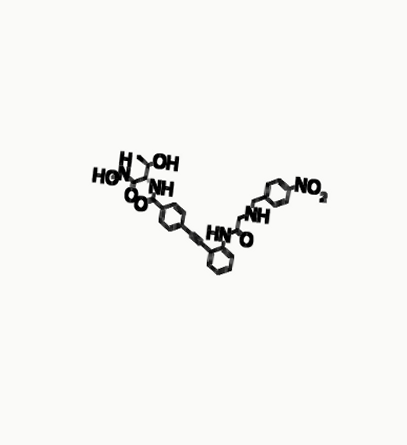 C[C@@H](O)[C@H](NC(=O)c1ccc(C#Cc2ccccc2NC(=O)CNCc2ccc([N+](=O)[O-])cc2)cc1)C(=O)NO